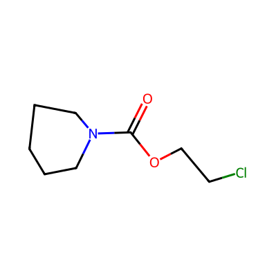 O=C(OCCCl)N1CCCCC1